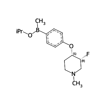 CB(OC(C)C)c1ccc(O[C@H]2CCN(C)C[C@H]2F)cc1